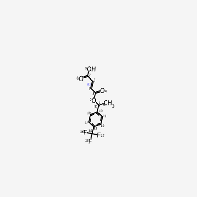 C[C@H](OC(=O)/C=C/C(=O)O)c1ccc(C(F)(F)F)cc1